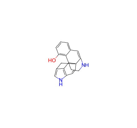 Oc1cccc2c1C13CCNC(=C2)C12C=Cc1[nH]cc(c13)C2